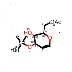 CC(=O)OC[C@H]1OC=C[C@@H](O[Si](C)(C)C(C)(C)C)[C@@H]1O